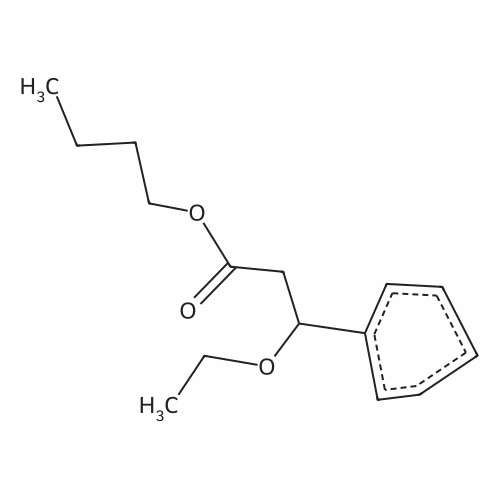 CCCCOC(=O)CC(OCC)c1ccccc1